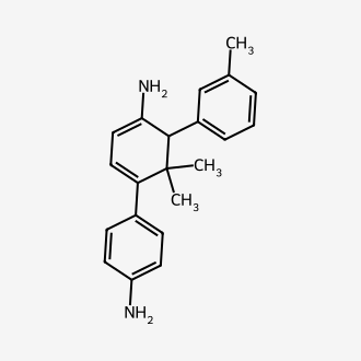 Cc1cccc(C2C(N)=CC=C(c3ccc(N)cc3)C2(C)C)c1